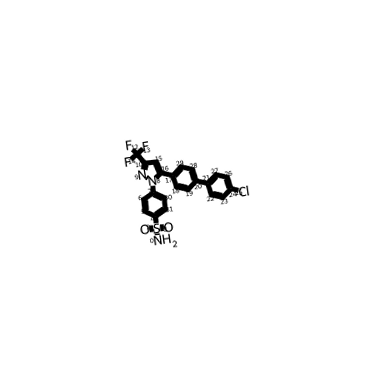 NS(=O)(=O)c1ccc(-n2nc(C(F)(F)F)cc2-c2ccc(-c3ccc(Cl)cc3)cc2)cc1